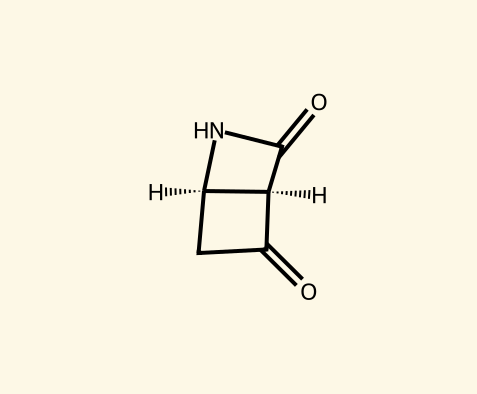 O=C1C[C@H]2NC(=O)[C@@H]12